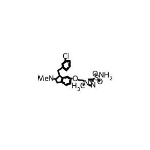 CNC1Cc2ccc(OCC[N+]3(C)C=NC(S(N)(=O)=O)=C3)cc2C1Cc1cccc(Cl)c1